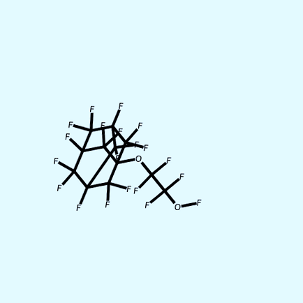 FOC(F)(F)C(F)(F)OC12C(F)(F)C3(F)C(F)(F)C(F)(C(F)(F)C(F)(C3(F)F)C1(F)F)C2(F)F